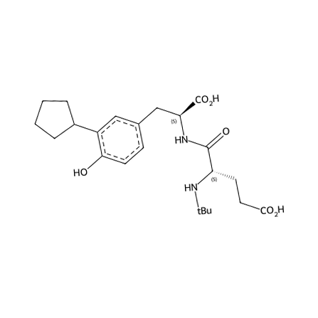 CC(C)(C)N[C@@H](CCC(=O)O)C(=O)N[C@@H](Cc1ccc(O)c(C2CCCC2)c1)C(=O)O